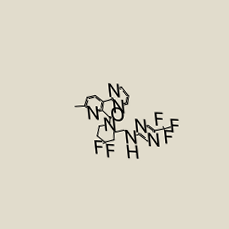 Cc1ccc(-c2ncccn2)c(C(=O)N2CCC(F)(F)CC2CNc2cnc(C(F)(F)F)cn2)n1